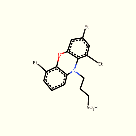 CCc1cc(CC)c2c(c1)Oc1c(CC)cccc1N2CCCS(=O)(=O)O